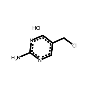 Cl.Nc1ncc(CCl)cn1